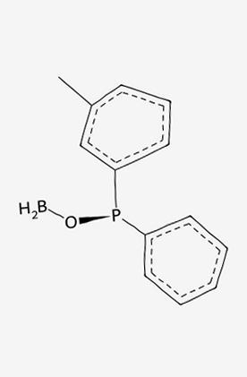 BO[P@](c1ccccc1)c1cccc(C)c1